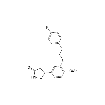 COc1ccc(C2CNC(=O)C2)cc1OCCc1ccc(F)cc1